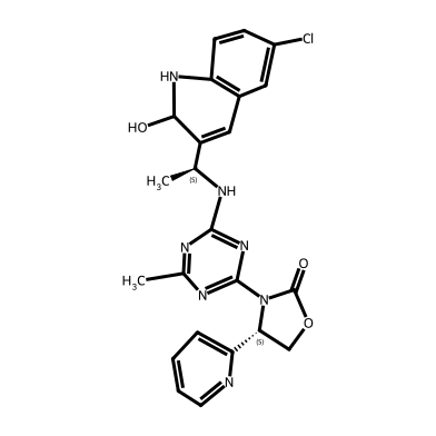 Cc1nc(N[C@@H](C)C2=Cc3cc(Cl)ccc3NC2O)nc(N2C(=O)OC[C@@H]2c2ccccn2)n1